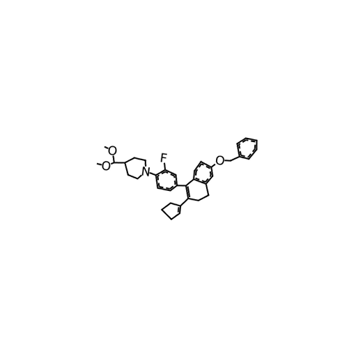 COC(OC)C1CCN(c2ccc(C3=C(C4=CCCC4)CCc4cc(OCc5ccccc5)ccc43)cc2F)CC1